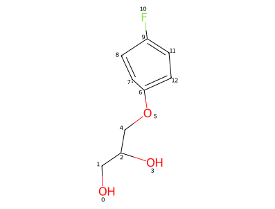 OCC(O)COc1[c]cc(F)cc1